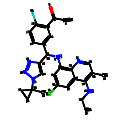 CNC(=O)c1cc([C@H](Nc2cc(Cl)cc3c(NCC(C)(C)C)c(C#N)cnc23)c2cn(C3(C(F)(F)F)CC3)nn2)ccc1F